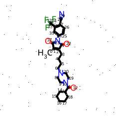 CC1=C(CCCCN2CCN(C(=O)C3CCCCC3)CC2)C(=O)N(c2ccc(C#N)c(C(F)(F)F)c2)C1=O